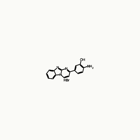 Br.Nc1ccc(-c2ccn3c(n2)nc2ccccc23)cc1O